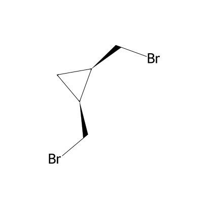 BrC[C@@H]1C[C@@H]1CBr